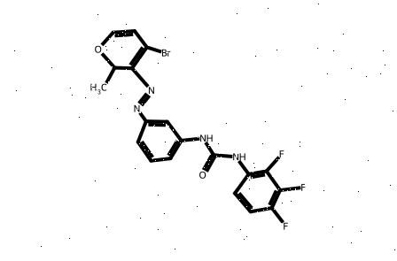 CC1OC=CC(Br)=C1N=Nc1cccc(NC(=O)Nc2ccc(F)c(F)c2F)c1